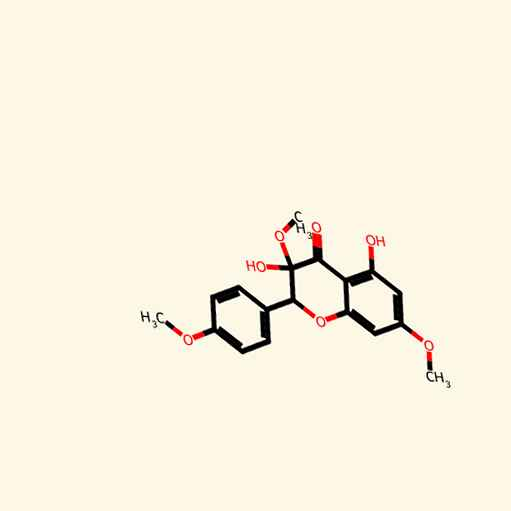 COc1ccc(C2Oc3cc(OC)cc(O)c3C(=O)C2(O)OC)cc1